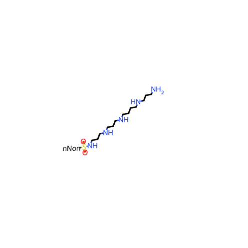 CCCCCCCCCS(=O)(=O)NCCCNCCCNCCCCNCCCN